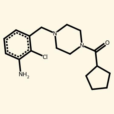 Nc1cccc(CN2CCN(C(=O)C3CCCC3)CC2)c1Cl